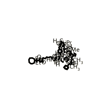 CC[C@H](C)[C@@H]([C@@H](CC(=O)N1CCC[C@H]1[C@H](OC)[C@@H](C)C(=O)N[C@H](C)[C@@H](O)c1ccccc1)OC)N(C)C(=O)[C@@H](NC(=O)[C@H](C(C)C)N(C)C(=O)OCc1ccc(NC(=O)[C@H](CCCN2CCOCC2)NC(=O)[C@@H](N[C@H](CCCCCN2C(=O)CC(C(CC)(CC)C3CCCCCCCC3)C2=O)C(F)(F)F)C(C)C)cc1)C(C)C